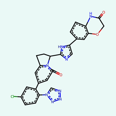 O=C1COc2cc(-c3cnc(C4CCc5cc(-c6cc(Cl)ccc6-n6cnnn6)cc(=O)n54)[nH]3)ccc2N1